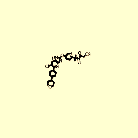 CC(C)(NC(=O)CC#N)c1ccc(Oc2nc3nc(-c4ccc(C5=CCOCC5)cc4)c(Cl)cc3[nH]2)cn1